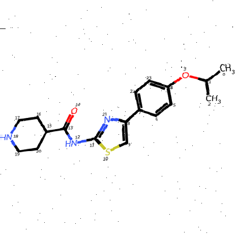 CC(C)Oc1ccc(-c2csc(NC(=O)C3CCNCC3)n2)cc1